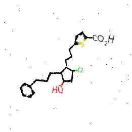 O=C(O)c1ccc(CCC[C@H]2C(Cl)C[C@@H](O)C2CCCc2ccccc2)s1